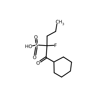 CCCC(F)(C(=O)C1CCCCC1)S(=O)(=O)O